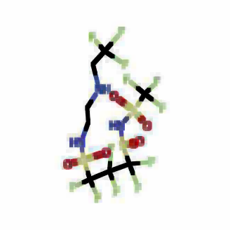 O=S(=O)(NS(=O)(=O)C(F)(F)C(F)(F)C(F)(F)S(=O)(=O)NCCNCC(F)(F)F)C(F)(F)F